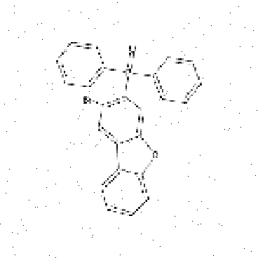 O=P(c1ccccc1)(c1ccccc1)c1cc2oc3ccccc3c2cc1Br